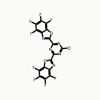 Fc1c(F)c(F)c2oc(-c3nc(Cl)nc(-c4nc5c(F)c(F)c(F)c(F)c5o4)n3)nc2c1F